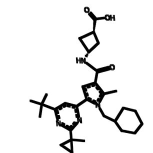 Cc1c(C(=O)N[C@H]2C[C@H](C(=O)O)C2)cc(-c2cc(C(C)(C)C)nc(C3(C)CC3)n2)n1CC1CCCCC1